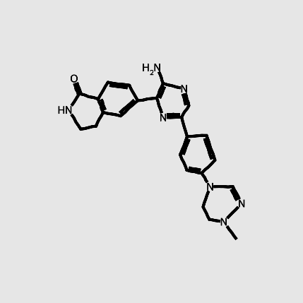 CN1CCN(c2ccc(-c3cnc(N)c(-c4ccc5c(c4)CCNC5=O)n3)cc2)C=N1